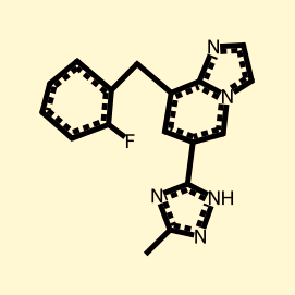 Cc1n[nH]c(-c2cc(Cc3ccccc3F)c3nccn3c2)n1